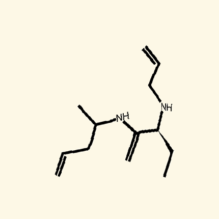 C=CCN[C@@H](CC)C(=C)NC(C)CC=C